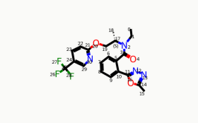 CCN(C(=O)c1ccccc1-c1nnc(C)o1)[C@@H](C)COc1ccc(C(F)(F)F)cn1